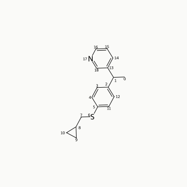 CC(c1ccc(SCC2CC2)cc1)c1cccnc1